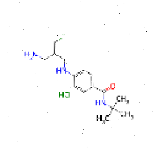 CC(C)(C)NC(=O)c1ccc(NC/C(=C\F)CN)cc1.Cl